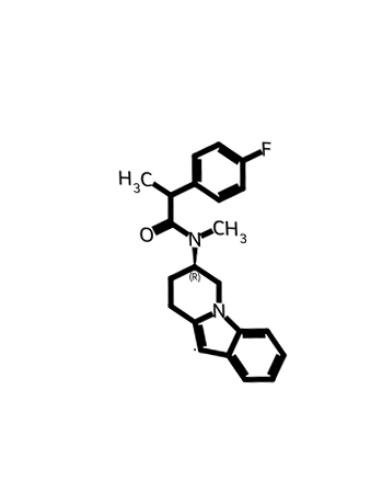 CC(C(=O)N(C)[C@@H]1CCc2[c]c3ccccc3n2C1)c1ccc(F)cc1